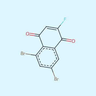 O=C1C(F)=CC(=O)c2c(Br)cc(Br)cc21